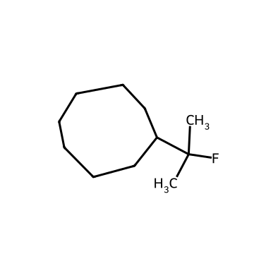 CC(C)(F)C1CCCCCCC1